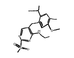 CCNc1nc(S(C)(=O)=O)ncc1Cc1cc(OC)c(C)cc1C(C)C